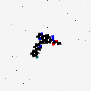 CCOC(=O)N[C@@H]1CC[C@@H]2[C@H](Cc3nccnc3[C@H]2/C=C/c2ccc(-c3cccc(F)c3)cn2)C1